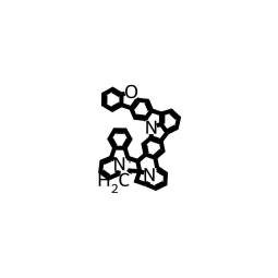 C=CC12Cc3cccc([n+]31)-c1cc3c4cccc5c6cc7oc8ccccc8c7cc6n(c3cc1C2C1c2ccccc2-c2cccc[n+]21)c45